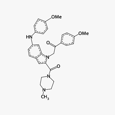 COc1ccc(Nc2ccc3cc(C(=O)N4CCN(C)CC4)n(CC(=O)c4ccc(OC)cc4)c3c2)cc1